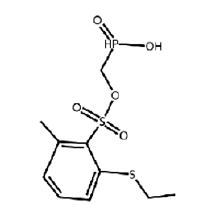 CCSc1cccc(C)c1S(=O)(=O)OC[PH](=O)O